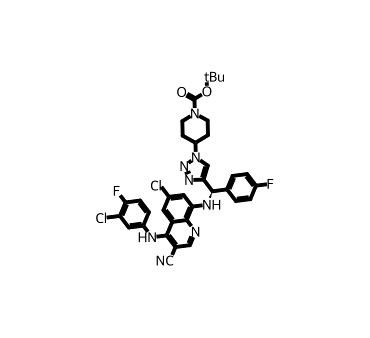 CC(C)(C)OC(=O)N1CCC(n2cc([C@@H](Nc3cc(Cl)cc4c(Nc5ccc(F)c(Cl)c5)c(C#N)cnc34)c3ccc(F)cc3)nn2)CC1